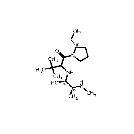 CN[C@@H](C)[C@@H](O)NC(C(=O)N1CCC[C@H]1CO)C(C)(C)C